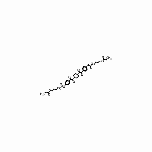 C=CC(=O)OCCCCOC(=O)Oc1ccc(C(=O)C(=O)[C@H]2CC[C@H](C(=O)C(=O)c3ccc(OC(=O)OCCCCOC(=O)C=C)cc3)CC2)cc1